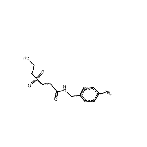 Nc1ccc(CNC(=O)CCS(=O)(=O)CCO)cc1